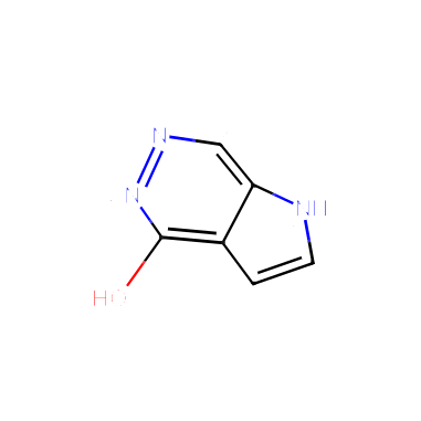 Oc1nncc2[nH]ccc12